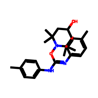 Cc1ccc(/N=C(/Nc2ccc(C)cc2)ON2C(C)(C)CC(O)CC2(C)C)cc1